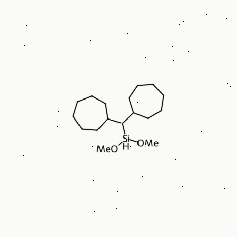 CO[SiH](OC)C(C1CCCCCC1)C1CCCCCC1